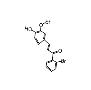 CCOc1cc(C=CC(=O)c2ccccc2Br)ccc1O